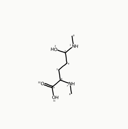 CNC(O)CCC(NC)C(=O)O